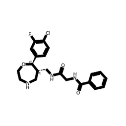 O=C(CNC(=O)c1ccccc1)NC[C@@H]1CNCCO[C@H]1c1ccc(Cl)c(F)c1